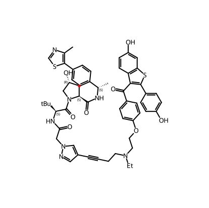 CCN(CCC#Cc1cnn(CC(=O)N[C@H](C(=O)N2C[C@H](O)C[C@H]2C(=O)N[C@@H](C)c2ccc(-c3scnc3C)cc2)C(C)(C)C)c1)CCOc1ccc(C(=O)c2c(-c3ccc(O)cc3)sc3cc(O)ccc23)cc1